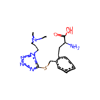 CN(C)CCn1nnnc1SCc1ccccc1CC(N)C(=O)O